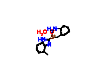 Cc1cccc2[nH]c([S+]([O-])Cc3ccccc3N)nc12.O